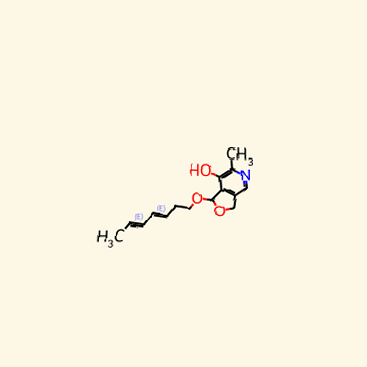 C/C=C/C=C/CCOC1OCc2cnc(C)c(O)c21